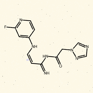 N=C(/C=C\Nc1ccnc(F)c1)NC(=O)Cn1cncn1